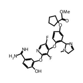 COC(=O)C1(Oc2ccc(Oc3c(F)cnc(Oc4cc(C(=N)N)ccc4O)c3F)c(C3N=CCN3C)c2)CCCC1